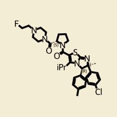 Cc1ccc([C@H]2N3C(=N[C@@]2(C)c2ccc(Cl)cc2)SC(C(=O)N2CCC[C@H]2C(=O)N2CCN(CCF)CC2)=C3C(C)C)cc1